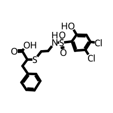 O=C(O)C(Cc1ccccc1)SCCNS(=O)(=O)c1cc(Cl)c(Cl)cc1O